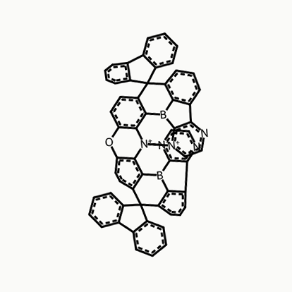 c1ccc2c(c1)-c1ccccc1C21c2cccc3c2B2c4c1ccc1c4[N+]4(c5c(ccc6c5B5c7c(cccc7C67c6ccccc6-c6ccccc67)-c6ncc[n+]4c65)O1)[n+]1ccnc-3c12